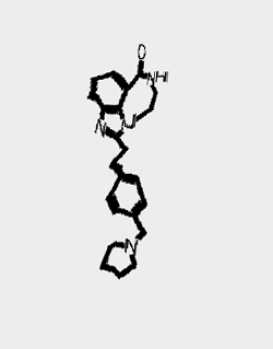 O=C1NCCn2c(CCc3ccc(CN4CCCC4)cc3)nc3c2C1=CCC3